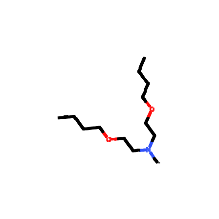 [CH2]N(CCOCCCC)CCOCCCC